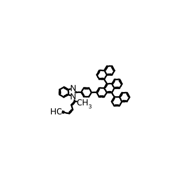 C#C/C=C\C=C(/C)n1c(C2=CCC(c3ccc4c(-c5cccc6ccccc56)c5ccccc5c(-c5cccc6ccccc56)c4c3)C=C2)nc2ccccc21